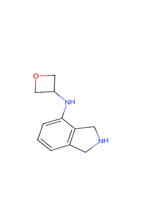 c1cc2c(c(NC3COC3)c1)CNC2